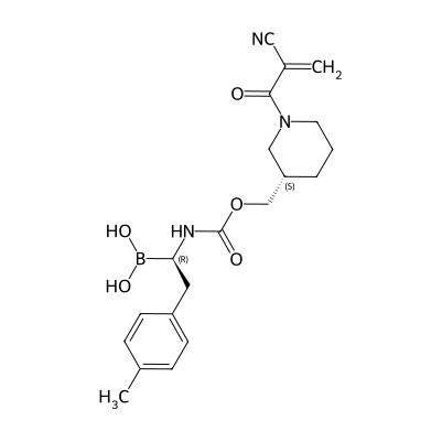 C=C(C#N)C(=O)N1CCC[C@H](COC(=O)N[C@@H](Cc2ccc(C)cc2)B(O)O)C1